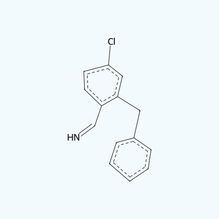 N=Cc1ccc(Cl)cc1Cc1ccccc1